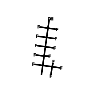 CC(F)(C(F)(F)F)C(F)(F)C(F)(F)C(F)(F)C(O)(F)F